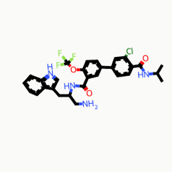 CC(C)NC(=O)c1ccc(-c2ccc(OC(F)(F)F)c(C(=O)NC(CN)Cc3c[nH]c4ccccc34)c2)cc1Cl